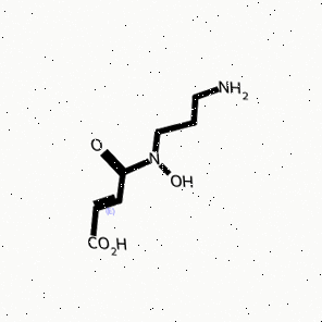 NCCCN(O)C(=O)/C=C/C(=O)O